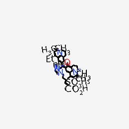 CCCC[n+]1ccn(CCCCCC(=O)O)c1C1=c2cc3c4c(c2Oc2c1cc1c5c2CCCN5C(C)(C)C=C1CC)CCC[N+]=4C(C)(C)C=C3CS(=O)(=O)O